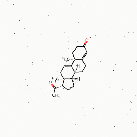 CC(=O)[C@H]1CC[C@H]2[C@@H]3CCC4=CC(=O)CC[C@]4(C)C3=CC[C@]12C